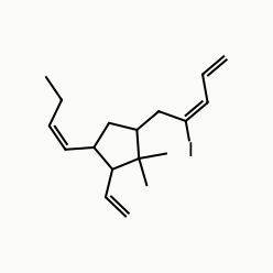 C=C/C=C(/I)CC1CC(/C=C\CC)C(C=C)C1(C)C